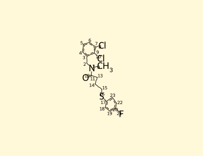 CN(Cc1cccc(Cl)c1Cl)C(=O)CCCSc1ccc(F)cc1